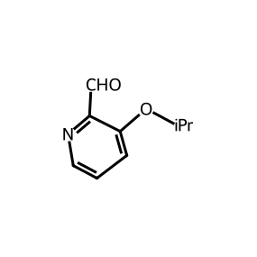 CC(C)Oc1cccnc1C=O